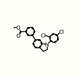 COC(=O)c1cccc(-c2ccc3c(c2)N(c2ccc(Cl)cc2Cl)CC3)c1